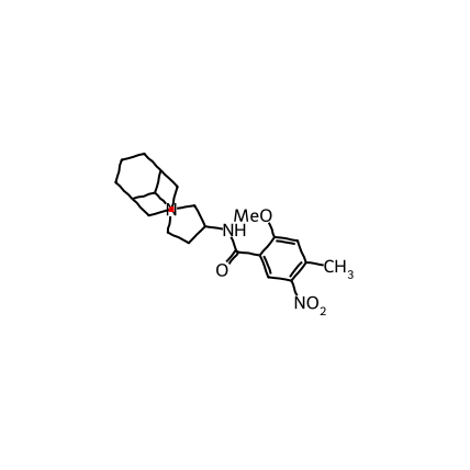 COc1cc(C)c([N+](=O)[O-])cc1C(=O)NC1CCN(C2C3CCCC2CCC3)C1